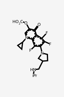 CC(C)NCC1CCN(c2c(F)c(F)c3c(=O)c(OC(=O)O)cn(C4CC4)c3c2F)C1